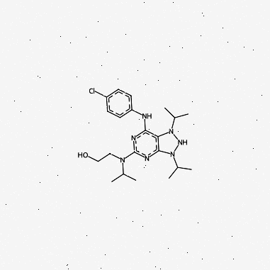 CC(C)N(CCO)c1nc(Nc2ccc(Cl)cc2)c2c(n1)N(C(C)C)NN2C(C)C